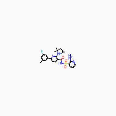 Cc1cc(F)cc(-c2ccc(C(=O)NS(=O)(=O)c3cccnc3N)c(N3C[C@@H](C)CC3(C)C)n2)c1